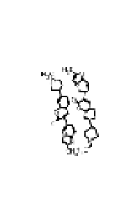 CCN1CCC(c2ccc3cc(-c4ccc5nc(C)cn5c4)c(=O)oc3c2)CC1.Cc1cn2cc(-c3cc4ccc(C5CCN(C)CC5)cc4oc3=O)ccc2n1